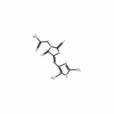 Cc1nc(/C=C2\SC(=S)N(CC(=O)O)C2=O)c(C)o1